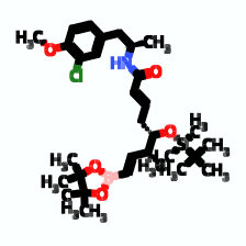 COc1ccc(C[C@@H](C)NC(=O)/C=C/C[C@H](O[Si](C)(C)C(C)(C)C)[C@H](C)/C=C/B2OC(C)(C)C(C)(C)O2)cc1Cl